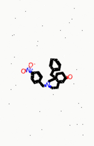 O=C1C=C2CCN(Cc3ccc([N+](=O)[O-])cc3)CC2(Cc2ccccc2)CC1